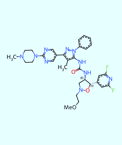 COCCN1C[C@@H](NC(=O)Nc2c(C)c(-c3cnc(N4CCN(C)CC4)nc3)nn2-c2ccccc2)[C@H](c2cc(F)nc(F)c2)O1